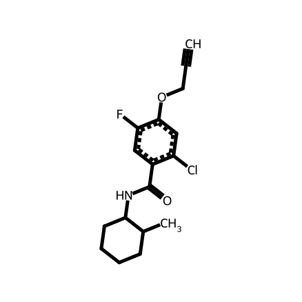 C#CCOc1cc(Cl)c(C(=O)NC2CCCCC2C)cc1F